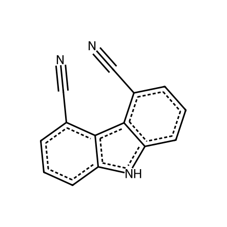 N#Cc1cccc2[nH]c3cccc(C#N)c3c12